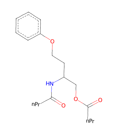 CCCC(=O)NC(CCOc1ccccc1)COC(=O)CCC